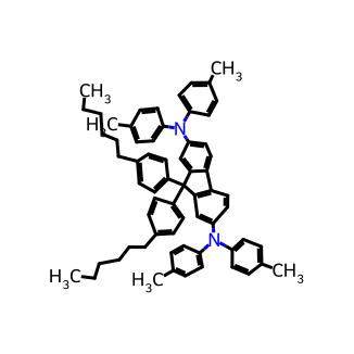 CCCCCCc1ccc(C2(c3ccc(CCCCCC)cc3)c3cc(N(c4ccc(C)cc4)c4ccc(C)cc4)ccc3-c3ccc(N(c4ccc(C)cc4)c4ccc(C)cc4)cc32)cc1